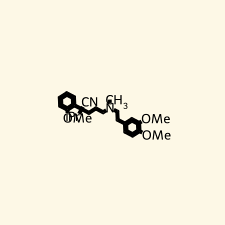 COc1ccc(CCN(C)CCCC(C#N)(c2ccccc2OC)C(C)C)cc1OC